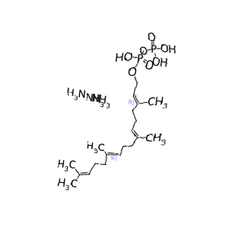 CC(C)=CCC/C(C)=C/CCC(C)=CCC/C(C)=C/COP(=O)(O)OP(=O)(O)O.N.N.N